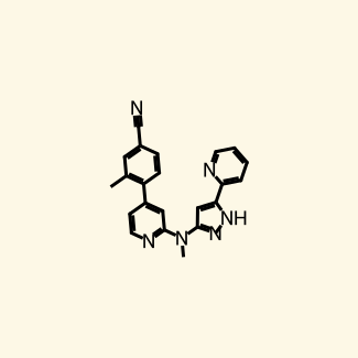 Cc1cc(C#N)ccc1-c1ccnc(N(C)c2cc(-c3ccccn3)[nH]n2)c1